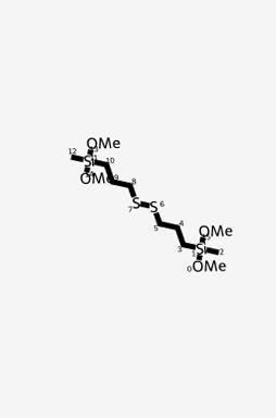 CO[Si](C)(CCCSSCCC[Si](C)(OC)OC)OC